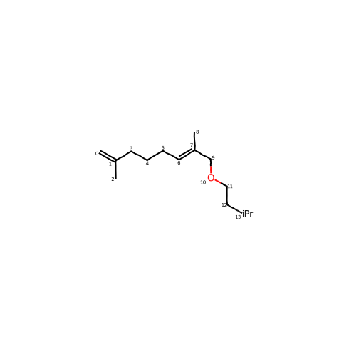 C=C(C)CCCC=C(C)COCCC(C)C